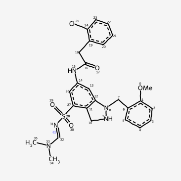 COc1ccccc1CN1NCc2c1cc(NC(=O)Cc1ccccc1Cl)cc2S(=O)(=O)/N=C/N(C)C